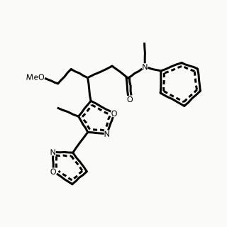 COCCC(CC(=O)N(C)c1ccccc1)c1onc(-c2ccon2)c1C